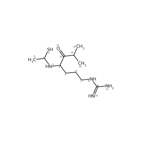 CC(S)NC(CCCNC(=N)N)C(=O)C(C)C